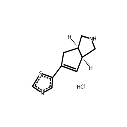 C1=C(c2cncs2)C[C@H]2CNC[C@@H]12.Cl